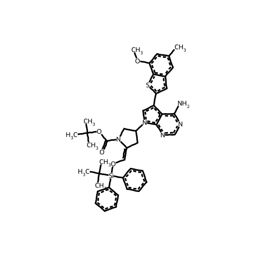 COc1cc(C)cc2cc(-c3cn(C4CC(=CO[Si](c5ccccc5)(c5ccccc5)C(C)(C)C)N(C(=O)OC(C)(C)C)C4)c4ncnc(N)c34)sc12